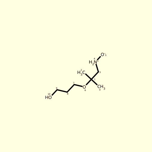 CC(C)(C[NH2+][O-])OCCCO